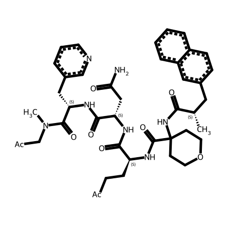 CC(=O)CC[C@H](NC(=O)C1(NC(=O)[C@@H](C)Cc2ccc3ccccc3c2)CCOCC1)C(=O)N[C@@H](CC(N)=O)C(=O)N[C@@H](Cc1cccnc1)C(=O)N(C)CC(C)=O